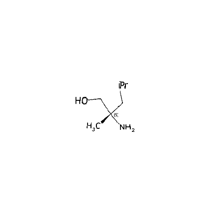 CC(C)C[C@](C)(N)CO